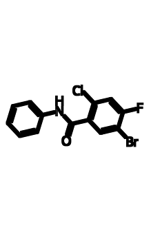 O=C(Nc1ccccc1)c1cc(Br)c(F)cc1Cl